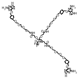 Nc1nc(OCc2ccc(COCCOCCOCCOCCNC(=O)CCOCC(COCCC(=O)NCCOCCOCCOCCOCc3ccc(COc4nc(N)nc5[nH]cnc45)cc3)(COCCC(=O)NCCOCCOCCOCCOCc3ccc(COc4nc(N)nc5[nH]cnc45)cc3)NC(=O)C(F)(F)F)cc2)c2nc[nH]c2n1